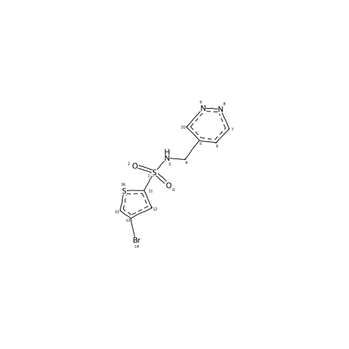 O=S(=O)(NCc1ccnnc1)c1cc(Br)cs1